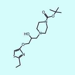 CCc1nc(OCC(O)CN2CCN(C(=O)OC(C)(C)C)CC2)cs1